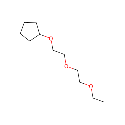 CCOCCOCCOC1CCCC1